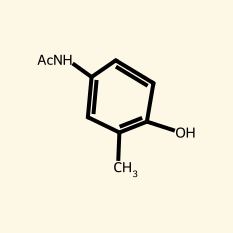 CC(=O)Nc1ccc(O)c(C)c1